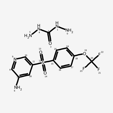 NNC(=O)NN.Nc1cncc(S(=O)(=O)c2ccc(OC(F)(F)F)cc2)c1